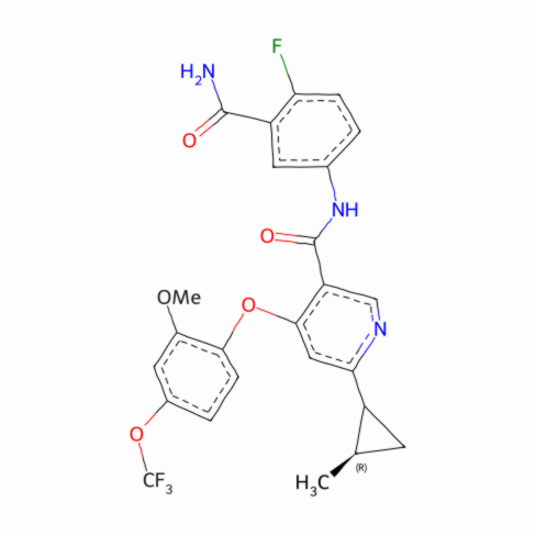 COc1cc(OC(F)(F)F)ccc1Oc1cc(C2C[C@H]2C)ncc1C(=O)Nc1ccc(F)c(C(N)=O)c1